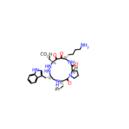 CC(C)C[C@@H]1NC[C@H](Cc2c[nH]c3ccccc23)NN[C@@H](CC(=O)O)C(=O)C(=O)[C@H](CCCCN)NC(=O)[C@@H]2CCCN2C1=O